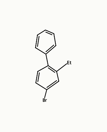 CCc1cc(Br)ccc1-c1ccccc1